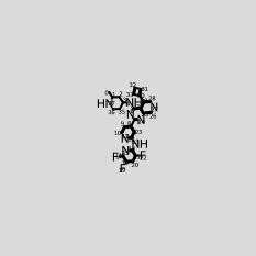 CC1CC(Nc2nc(-c3ccnc(Nc4nc(F)c(F)cc4F)c3)nc3cncc(C4=CC=C4)c23)CCN1